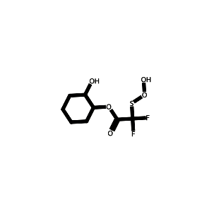 O=C(OC1CCCCC1O)C(F)(F)SOO